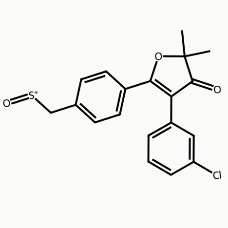 CC1(C)OC(c2ccc(C[S+]=O)cc2)=C(c2cccc(Cl)c2)C1=O